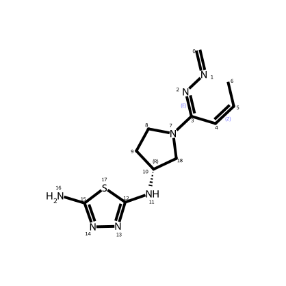 C=N/N=C(\C=C/C)N1CC[C@@H](Nc2nnc(N)s2)C1